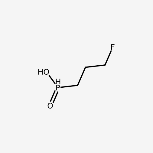 O=[PH](O)CCCF